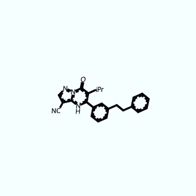 CC(C)c1c(-c2cccc(CCc3ccccc3)c2)[nH]c2c(C#N)cnn2c1=O